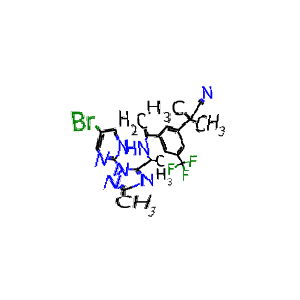 C=C(NC(C)c1nc(C)nn1-c1ncc(Br)cn1)c1cc(C(F)(F)F)cc(C(C)(C)C#N)c1